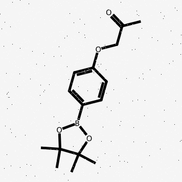 CC(=O)COc1ccc(B2OC(C)(C)C(C)(C)O2)cc1